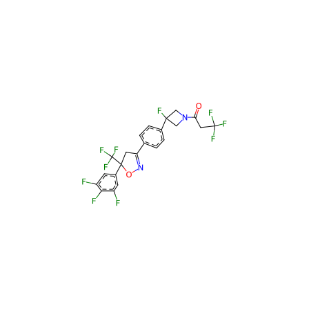 O=C(CC(F)(F)F)N1CC(F)(c2ccc(C3=NOC(c4cc(F)c(F)c(F)c4)(C(F)(F)F)C3)cc2)C1